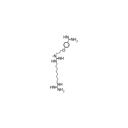 CN(CCCOc1ccc(C(=N)N)cc1)C(=N)NCCCCCCCCNC(=N)N